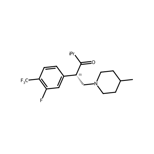 CC1CCN(C[C@@H](C(=O)C(C)C)c2ccc(C(F)(F)F)c(F)c2)CC1